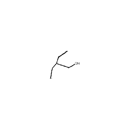 [CH2]CC([CH]O)CC